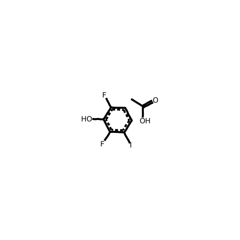 CC(=O)O.Oc1c(F)ccc(I)c1F